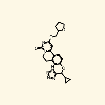 O=c1nc(OCC2CCCO2)cc2n1CCc1cc(OC(c3nnn[nH]3)C3CC3)ccc1-2